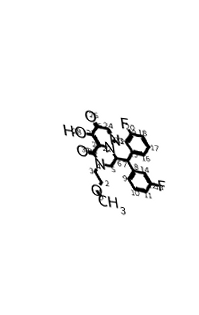 COCCN1CC(C(c2cccc(F)c2)c2cccc(F)c2)n2ncc(=O)c(O)c2C1=O